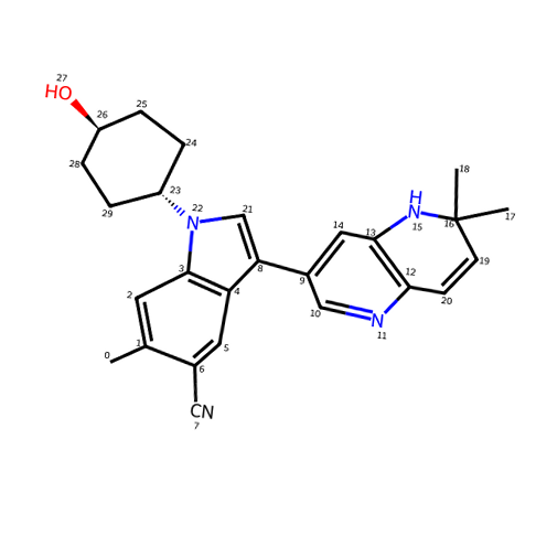 Cc1cc2c(cc1C#N)c(-c1cnc3c(c1)NC(C)(C)C=C3)cn2[C@H]1CC[C@H](O)CC1